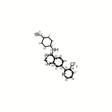 CC(C)(C)C1CCC(Nc2ncnc3cc(-c4ncccc4C(F)(F)F)ccc23)CC1